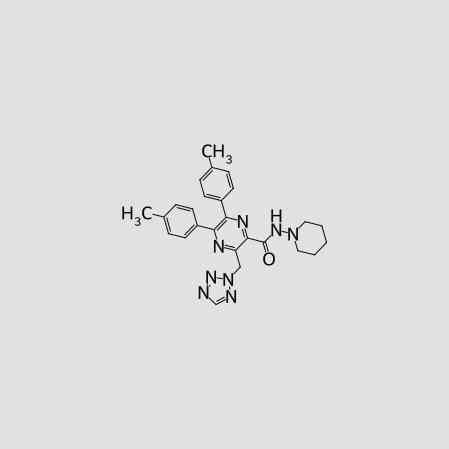 Cc1ccc(-c2nc(Cn3ncnn3)c(C(=O)NN3CCCCC3)nc2-c2ccc(C)cc2)cc1